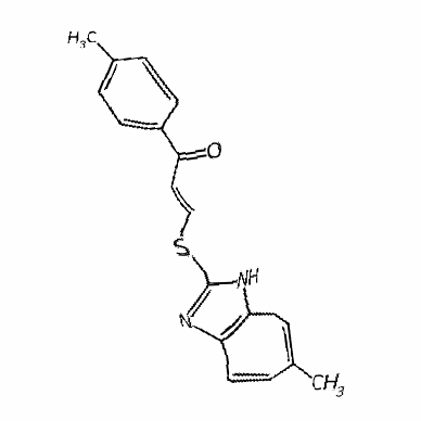 Cc1ccc(C(=O)C=CSc2nc3ccc(C)cc3[nH]2)cc1